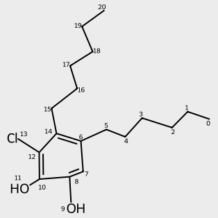 CCCCCCc1cc(O)c(O)c(Cl)c1CCCCCC